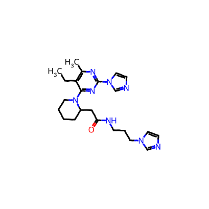 CCc1c(C)nc(-n2ccnc2)nc1N1CCCCC1CC(=O)NCCCn1ccnc1